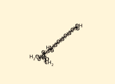 C=CC(=O)N1CN(C(=O)C=C)CN(C(=O)CCSCC(=O)NCCOCCOCCOCCOCCOCCOCCC(=O)O)C1